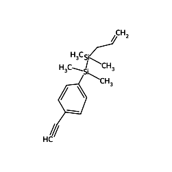 C#Cc1ccc([Si](C)(C)[Si](C)(C)CC=C)cc1